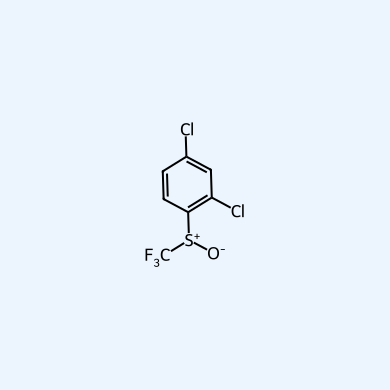 [O-][S+](c1ccc(Cl)cc1Cl)C(F)(F)F